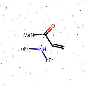 C=CC(=O)NC.CCCNCCC